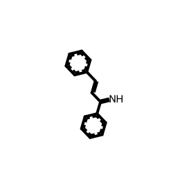 N=C(C=Cc1ccccc1)c1ccccc1